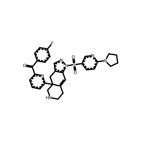 O=C(c1ccc(F)cc1)c1cccc(C23CNCCC2=Cc2c(cnn2S(=O)(=O)c2ccc(N4CCCC4)nc2)C3)n1